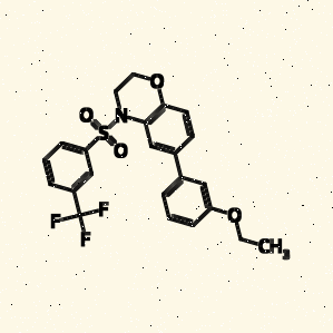 CCOc1cccc(-c2ccc3c(c2)N(S(=O)(=O)c2cccc(C(F)(F)F)c2)CCO3)c1